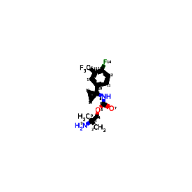 CC(C)(N)COC(=O)NC1(c2ccc(F)c(C(F)(F)F)c2)CC1